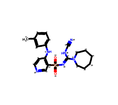 Cc1cccc(Nc2ccncc2S(=O)(=O)N=C(NC#N)N2CCCCCC2)c1